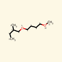 CCC(C)COCCCCOC